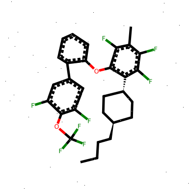 CCCC[C@H]1CC[C@H](c2c(F)c(F)c(C)c(F)c2Oc2ccccc2-c2cc(F)c(OC(F)(F)F)c(F)c2)CC1